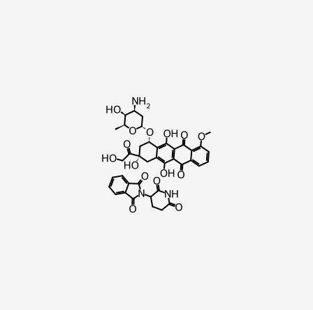 COc1cccc2c1C(=O)c1c(O)c3c(c(O)c1C2=O)C[C@@](O)(C(=O)CO)C[C@@H]3O[C@H]1C[C@H](N)[C@H](O)[C@H](C)O1.O=C1CCC(N2C(=O)c3ccccc3C2=O)C(=O)N1